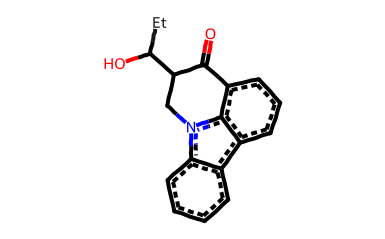 CCC(O)C1Cn2c3ccccc3c3cccc(c32)C1=O